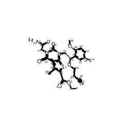 CCOC(=O)c1sc2c(c1C)c(=O)n(CC(N)=O)c(=O)n2C[C@H](OCCC#N)c1cc(F)ccc1OC